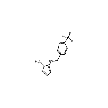 Cn1nccc1NCc1ccc(C(F)(F)F)cc1